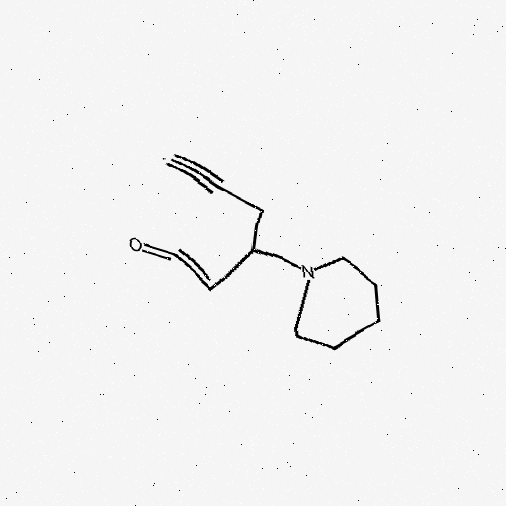 [C]#CCC(C=C=O)N1CCCCC1